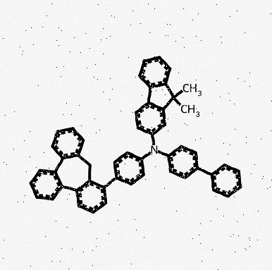 CC1(C)c2ccccc2-c2ccc(N(c3ccc(-c4ccccc4)cc3)c3ccc(-c4cccc5c4Cc4ccccc4-c4ccccc4-5)cc3)cc21